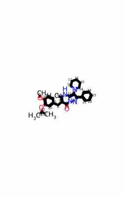 COc1ccc(Cc2c(C)[nH]c3c(N4CCCCC4)c(-c4ccccc4)nn3c2=O)cc1OC(C)C